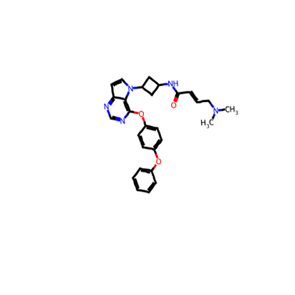 CN(C)CC=CC(=O)NC1CC(n2ccc3ncnc(Oc4ccc(Oc5ccccc5)cc4)c32)C1